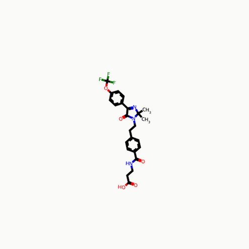 CC1(C)N=C(c2ccc(OC(F)(F)F)cc2)C(=O)N1CCc1ccc(C(=O)NCCC(=O)O)cc1